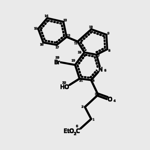 CCOC(=O)CCC(=O)c1nc2cccc(-c3ccccc3)c2c(Br)c1O